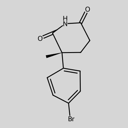 C[C@]1(c2ccc(Br)cc2)CCC(=O)NC1=O